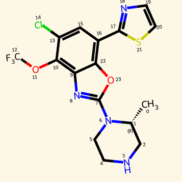 C[C@@H]1CNCCN1c1nc2c(OC(F)(F)F)c(Cl)cc(-c3nccs3)c2o1